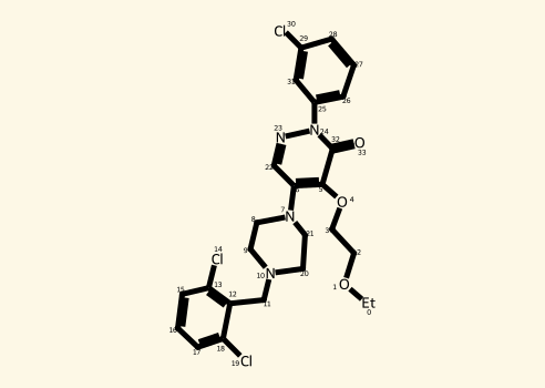 CCOCCOc1c(N2CCN(Cc3c(Cl)cccc3Cl)CC2)cnn(-c2cccc(Cl)c2)c1=O